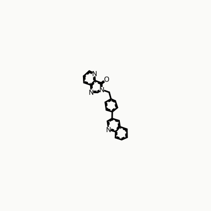 O=c1c2ncccc2ncn1Cc1ccc(-c2cnc3ccccc3c2)cc1